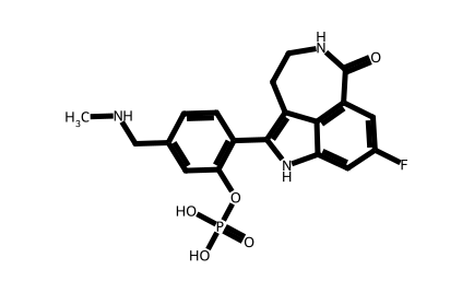 CNCc1ccc(-c2[nH]c3cc(F)cc4c3c2CCNC4=O)c(OP(=O)(O)O)c1